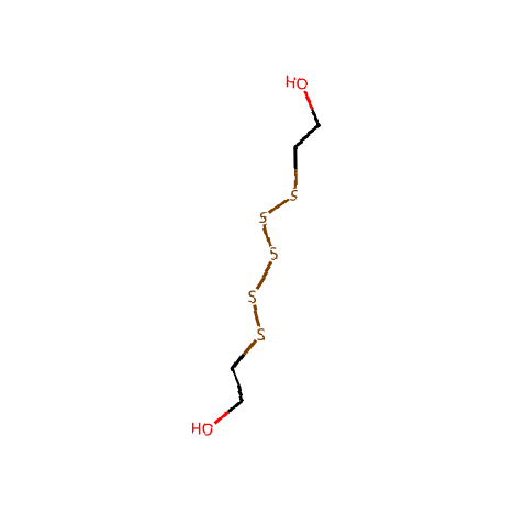 OCCSSSSSCCO